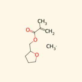 C=C(C)C(=O)OCC1CCCO1.[CH3]